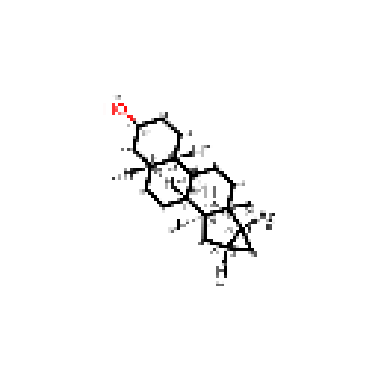 CC(=O)[C@@]12C[C@@H]1C[C@H]1[C@@H]3CC[C@@H]4C[C@@H](O)CC[C@@H]4[C@H]3CC[C@@]12C